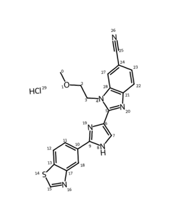 COCCn1c(-c2c[nH]c(-c3ccc4scnc4c3)n2)nc2ccc(C#N)cc21.Cl